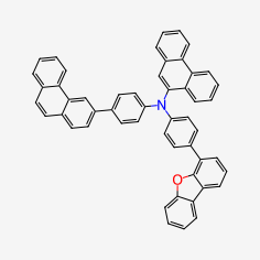 c1ccc2c(c1)ccc1ccc(-c3ccc(N(c4ccc(-c5cccc6c5oc5ccccc56)cc4)c4cc5ccccc5c5ccccc45)cc3)cc12